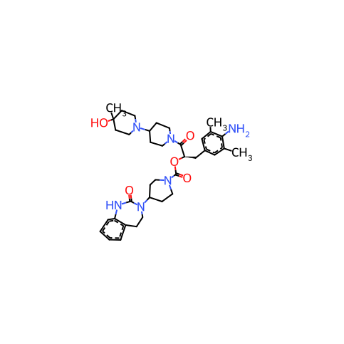 Cc1cc(C[C@@H](OC(=O)N2CCC(N3CCc4ccccc4NC3=O)CC2)C(=O)N2CCC(N3CCC(C)(O)CC3)CC2)cc(C)c1N